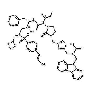 CC[C@H](C)[C@@H](C(=O)N[C@@H](Cc1ccccc1)[C@H](O)CN(CC1CCC1)S(=O)(=O)c1ccc(C=NO)cc1)N1CCN(Cc2csc(CN(CC3c4ccccc4-c4ccccc43)C(=O)O)n2)C1=O